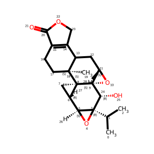 CC(C)[C@]12O[C@H]1[C@@H]1C[C@]13[C@]1(O[C@H]1CC1C4=C(CC[C@@]13C)C(=O)OC4)[C@@H]2O